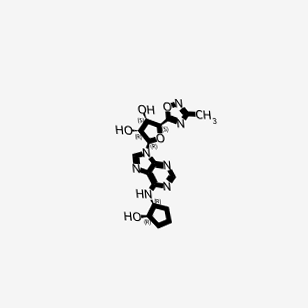 Cc1noc([C@H]2O[C@@H](n3cnc4c(N[C@@H]5CCC[C@H]5O)ncnc43)[C@H](O)[C@@H]2O)n1